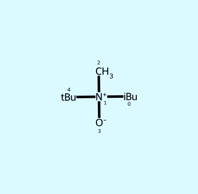 CCC(C)[N+](C)([O-])C(C)(C)C